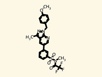 COc1ccc(Cn2nc(C)c3cc(-c4cccc(S(=O)(=O)N(C)C(=O)C(F)(F)F)c4)cnc32)cc1